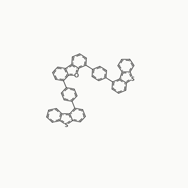 c1ccc2c(c1)sc1cccc(-c3ccc(-c4cccc5c4oc4c(-c6ccc(-c7cccc8sc9ccccc9c78)cc6)cccc45)cc3)c12